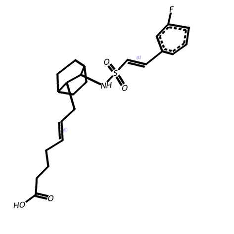 O=C(O)CCC/C=C/CC1C2CCC(CC2)C1NS(=O)(=O)/C=C/c1cccc(F)c1